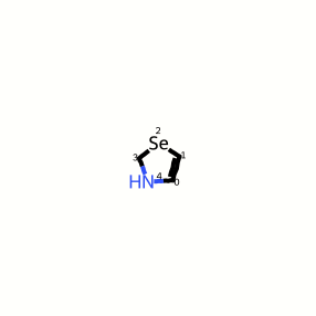 C1=C[Se]CN1